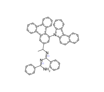 CC(/N=C(\N=C(/N)c1ccccc1)c1ccccc1)c1cc(-n2c3ccccc3c3c4ccccc4ccc32)c2c3ccccc3c3ccccc3c2c1